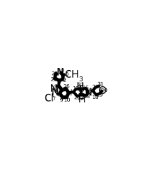 Cc1cc(-c2nn(Cl)c3ccc(C4C[C@@H]5CN(C6CCOCC6)C[C@@H]5C4)cc23)ccn1